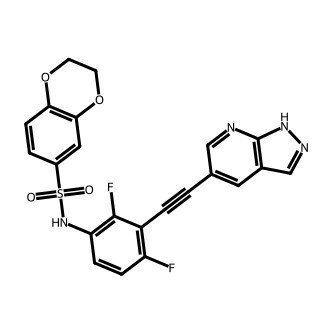 O=S(=O)(Nc1ccc(F)c(C#Cc2cnc3[nH]ncc3c2)c1F)c1ccc2c(c1)OCCO2